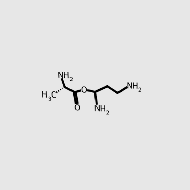 C[C@H](N)C(=O)OC(N)CCN